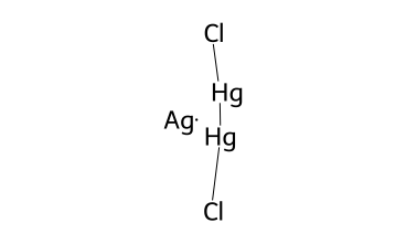 [Ag].[Cl][Hg][Hg][Cl]